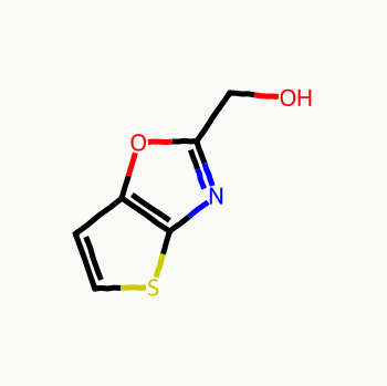 OCc1nc2sccc2o1